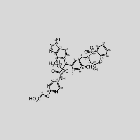 CC[C@@H]1CN(Cc2cc(C(c3ccc4c(nnn4CC)c3C)C(C)(C)C(=O)Nc3cnc(OCC(=O)O)nc3)ccc2C)S(=O)(=O)c2ccccc2O1